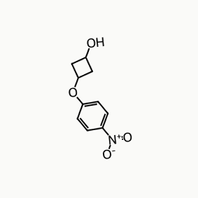 O=[N+]([O-])c1ccc(OC2CC(O)C2)cc1